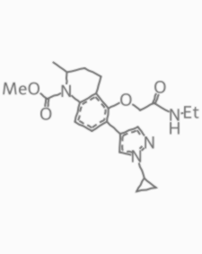 CCNC(=O)COc1c(-c2cnn(C3CC3)c2)ccc2c1CCC(C)N2C(=O)OC